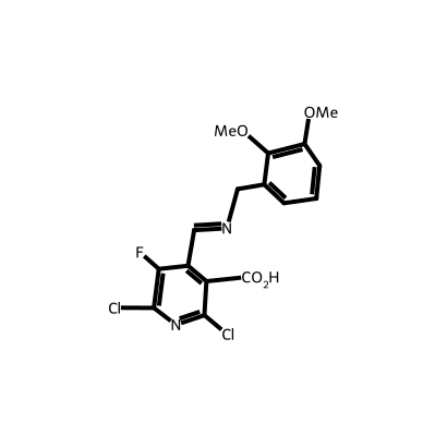 COc1cccc(C/N=C/c2c(F)c(Cl)nc(Cl)c2C(=O)O)c1OC